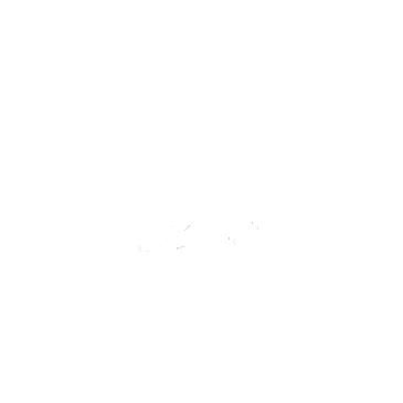 Br.Br.CCCCCCCCN(C)C.CCCCCCCCN(C)C.CCOC(=O)C(=O)O